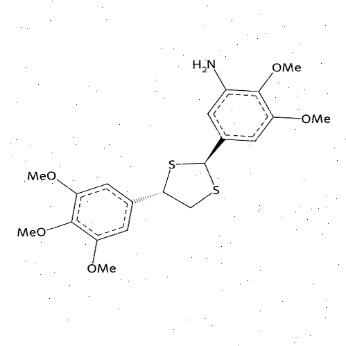 COc1cc([C@H]2SC[C@H](c3cc(OC)c(OC)c(OC)c3)S2)cc(N)c1OC